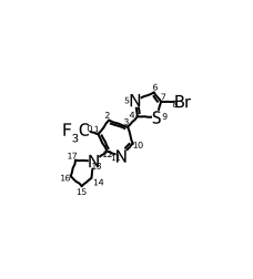 FC(F)(F)c1cc(-c2ncc(Br)s2)cnc1N1CCCC1